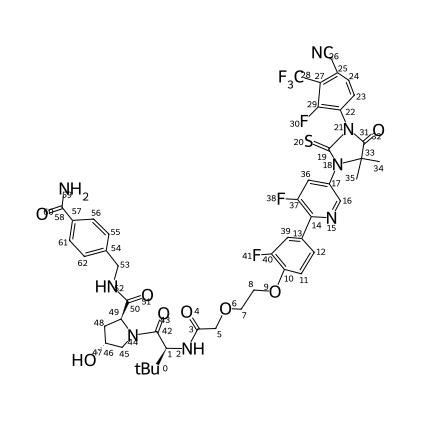 CC(C)(C)[C@H](NC(=O)COCCOc1ccc(-c2ncc(N3C(=S)N(c4ccc(C#N)c(C(F)(F)F)c4F)C(=O)C3(C)C)cc2F)cc1F)C(=O)N1C[C@H](O)C[C@H]1C(=O)NCc1ccc(C(N)=O)cc1